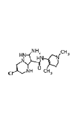 CC1=C(NC(=O)C2C(N)NN3CC(Cl)CNC23)CN(C)CC1